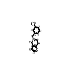 Clc1cccc(CN2CCc3sccc3C2)c1